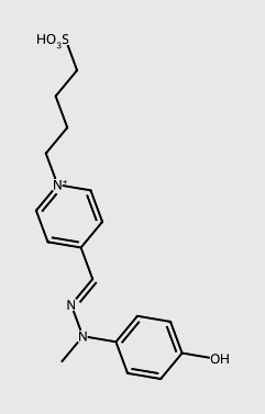 CN(N=Cc1cc[n+](CCCCS(=O)(=O)O)cc1)c1ccc(O)cc1